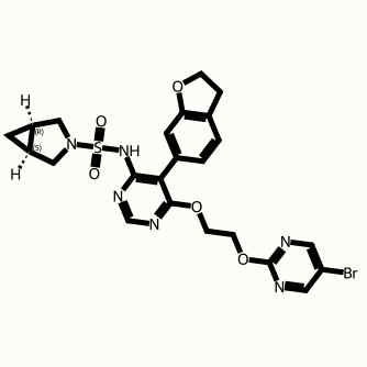 O=S(=O)(Nc1ncnc(OCCOc2ncc(Br)cn2)c1-c1ccc2c(c1)OCC2)N1C[C@H]2C[C@H]2C1